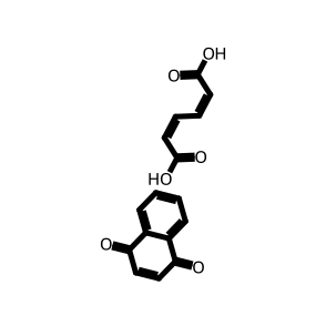 O=C(O)/C=C\C=C/C(=O)O.O=C1C=CC(=O)c2ccccc21